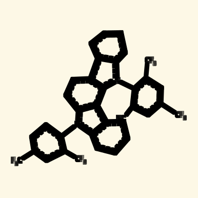 N#Cc1cc(C(F)(F)F)cc(C(F)(F)F)c1-n1c2ccccc2c2ccc3c(c4ccccc4n3-c3ccc(C(F)(F)F)cc3C(F)(F)F)c21